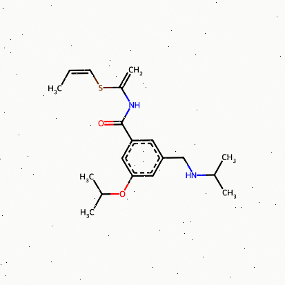 C=C(NC(=O)c1cc(CNC(C)C)cc(OC(C)C)c1)S/C=C\C